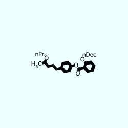 CCCCCCCCCCOc1ccccc1C(=O)Oc1ccc(CCCC(C)OCCC)cc1